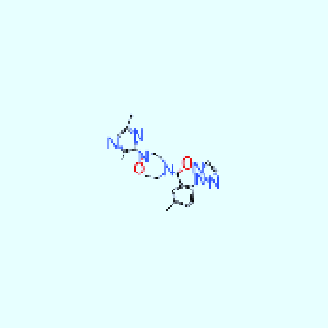 Cc1ccc(-n2nccn2)c(C(=O)N2CCON(c3nc(C)cnc3C)CC2)c1